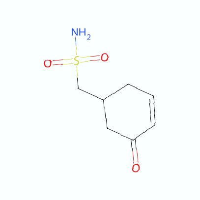 NS(=O)(=O)CC1CC=CC(=O)C1